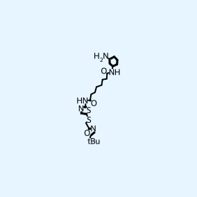 CC(C)(C)c1cnc(CSc2cnc(NC(=O)CCCCCCC(=O)Nc3cccc(N)c3)s2)o1